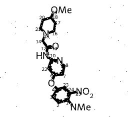 CNc1ccc(Oc2ccnc(NC(=O)CN3CCC(OC)CC3)c2)cc1[N+](=O)[O-]